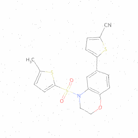 Cc1ccc(S(=O)(=O)N2CCOc3ccc(-c4ccc(C#N)s4)cc32)s1